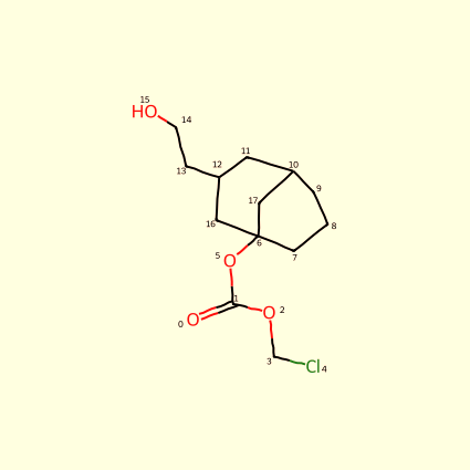 O=C(OCCl)OC12CCCC(CC(CCO)C1)C2